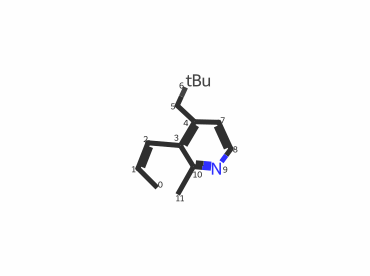 C/C=C\c1c(CC(C)(C)C)ccnc1C